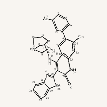 CC(=O)c1cccc(-c2cc3c(N[C@H]4CN5CCC4CC5)c(-c4nc5ccccc5[nH]4)c(=O)[nH]c3cc2F)c1